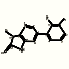 Cc1cccc(-c2cnc3c(c2)[nH]c(=O)n3C)c1F